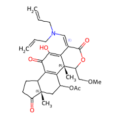 C=CCN(/C=C1/C(=O)OC(COC)[C@@]2(C)C1=C(O)C(=O)C1=C2C(OC(C)=O)C[C@]2(C)C(=O)CCC12)CC=C